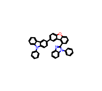 c1ccc(-n2c(-c3cccc4oc5ccc(-c6ccc7c(c6)c6ccccc6n7-c6ccccc6)cc5c34)nc3ccccc32)cc1